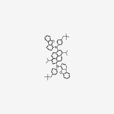 CC(C)c1cc(N(C2=C3Oc4ccccc4C3CC=C2)c2ccc(CC(C)(C)C)cc2)c2ccc3c(C(C)C)cc(N(c4ccc(CC(C)(C)C)cc4)c4cccc5c4oc4ccccc45)c4ccc1c2c34